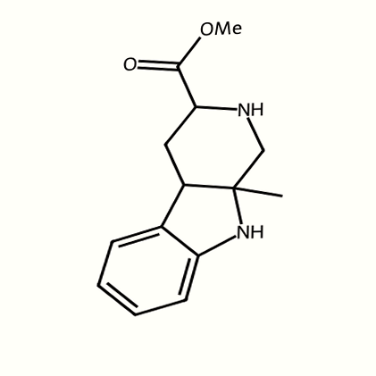 COC(=O)C1CC2c3ccccc3NC2(C)CN1